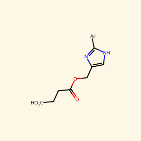 CC(=O)c1nc(COC(=O)CCC(=O)O)c[nH]1